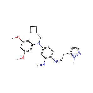 C=Nc1cc(N(CC2CCC2)c2cc(OC)cc(OC)c2)ccc1/N=C\Cc1ccnn1C